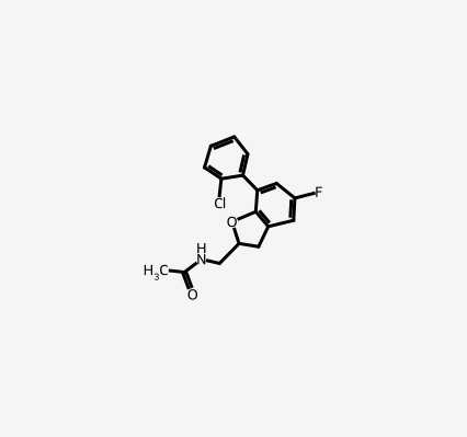 CC(=O)NCC1Cc2cc(F)cc(-c3ccccc3Cl)c2O1